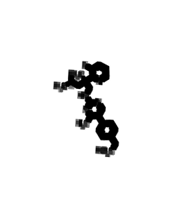 Cc1nc(NC[C@@](C)(C[C@@H](C)F)c2ncccc2F)ncc1-c1ccc(CC(=O)O)cc1